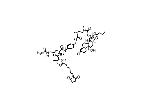 CCCC1O[C@H]2C[C@H]3C4CCC5=CC(=O)C=C[C@]5(C)[C@H]4[C@@H](O)C[C@]3(C)[C@]2(C(=O)COC(=O)N(C)CCN(C)C(=O)OCc2ccc(NC(=O)[C@H](CCCNC(N)=O)NC(=O)[C@@H](NC(=O)CCCCCN3C(=O)C=CC3=O)C(C)C)cc2)O1